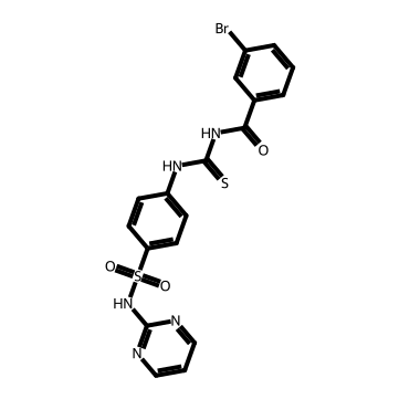 O=C(NC(=S)Nc1ccc(S(=O)(=O)Nc2ncccn2)cc1)c1cccc(Br)c1